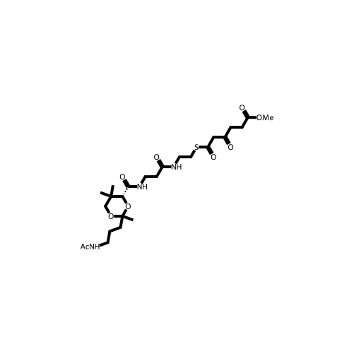 COC(=O)CCC(=O)CC(=O)SCCNC(=O)CCNC(=O)[C@@H]1OC(C)(CCCNC(C)=O)OCC1(C)C